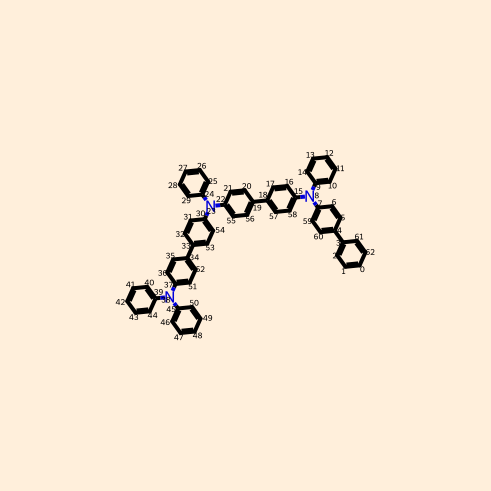 c1ccc(-c2ccc(N(c3ccccc3)c3ccc(-c4ccc(N(c5ccccc5)c5ccc(-c6ccc(N(c7ccccc7)c7ccccc7)cc6)cc5)cc4)cc3)cc2)cc1